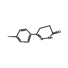 [CH2]c1ccc(C2=NNC(=O)CC2)cc1